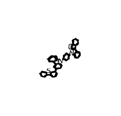 c1ccc2c(c1)oc1c2c2ccccc2n1-c1ccc(-n2c3ccccc3c3cc(-c4cccc5c4sc4ccccc45)ccc32)cc1